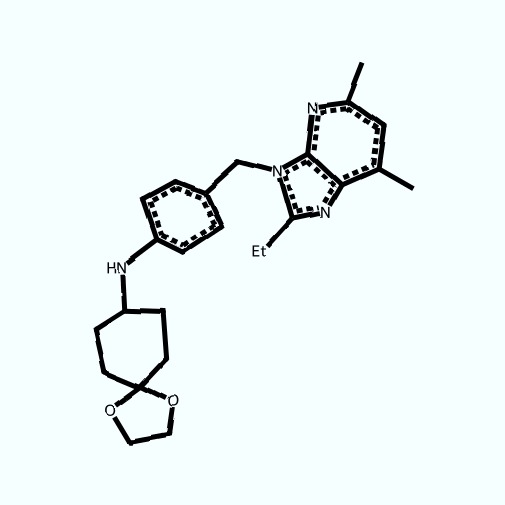 CCc1nc2c(C)cc(C)nc2n1Cc1ccc(NC2CCC3(CC2)OCCO3)cc1